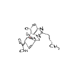 CCC=Cc1nc2ccc(Cl)c(C(=O)O)c2n1Cc1ccc(C(=O)O)cc1